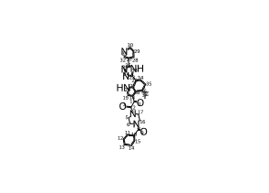 O=C(C(=O)N1CCN(C(=O)c2ccccc2)CC1)c1c[nH]c2c(-c3nnc(-c4cccnc4)[nH]3)ccc(F)c12